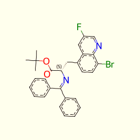 CC(C)(C)OC(=O)[C@H](Cc1ccc(Br)c2ncc(F)cc12)N=C(c1ccccc1)c1ccccc1